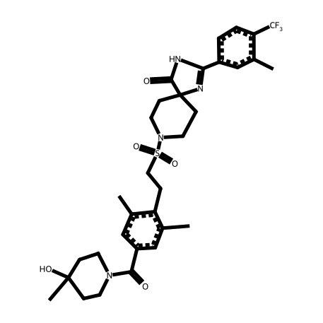 Cc1cc(C2=NC3(CCN(S(=O)(=O)CCc4c(C)cc(C(=O)N5CCC(C)(O)CC5)cc4C)CC3)C(=O)N2)ccc1C(F)(F)F